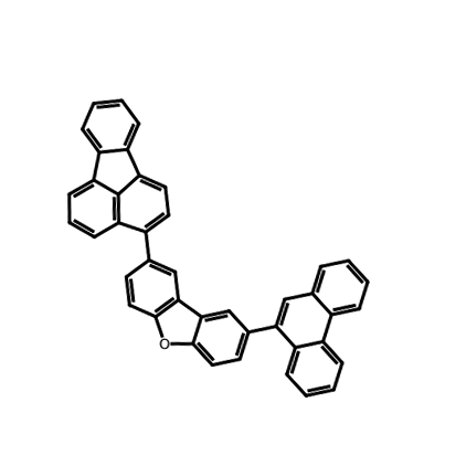 c1ccc2c(c1)-c1cccc3c(-c4ccc5oc6ccc(-c7cc8ccccc8c8ccccc78)cc6c5c4)ccc-2c13